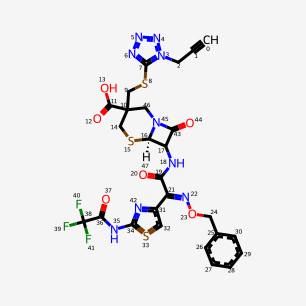 C#CCn1nnnc1SCC1(C(=O)O)CS[C@@H]2C(NC(=O)C(=NOCc3ccccc3)c3csc(NC(=O)C(F)(F)F)n3)C(=O)N2C1